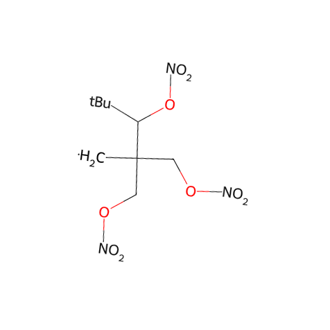 [CH2]C(CO[N+](=O)[O-])(CO[N+](=O)[O-])C(O[N+](=O)[O-])C(C)(C)C